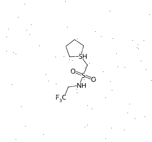 O=S(=O)(C[SH]1CCCC1)NCC(F)(F)F